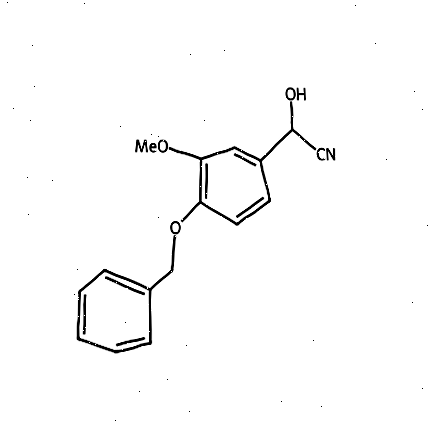 COc1cc(C(O)C#N)ccc1OCc1ccccc1